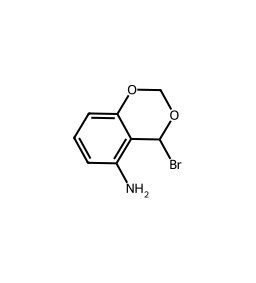 Nc1cccc2c1C(Br)OCO2